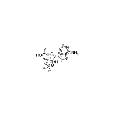 CC(O)[C@H]1O[C@@H](n2cnc3c(N)ncnc32)[C@@H]2OC(C)(C)O[C@@H]21